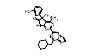 CC1(c2cccc(O)c2)C(=O)Nc2nc(-c3cn4ccnc4c(CC4CCCCC4)n3)nc(N)c21